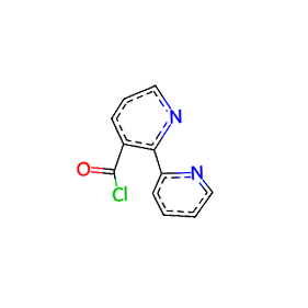 O=C(Cl)c1cccnc1-c1ccccn1